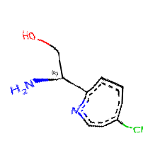 N[C@@H](CO)c1ccc(Cl)cn1